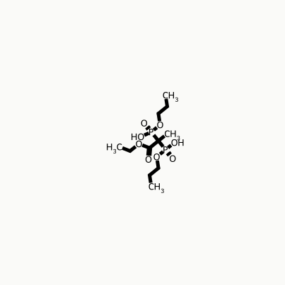 CCCOP(=O)(O)C(C)(C(=O)OCC)P(=O)(O)OCCC